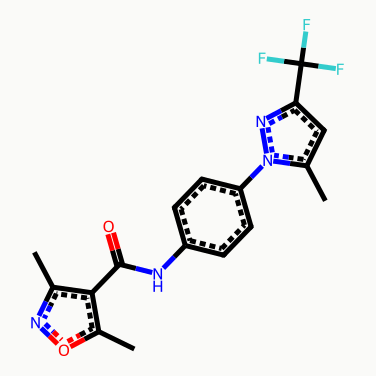 Cc1noc(C)c1C(=O)Nc1ccc(-n2nc(C(F)(F)F)cc2C)cc1